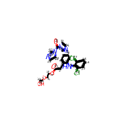 O=C(Cc1ccccc1Nc1c(Cl)cccc1Cl)OCCOCCO.O=C(n1ccnc1)n1ccnc1